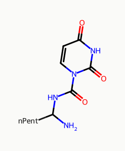 CCCCCC(N)NC(=O)n1ccc(=O)[nH]c1=O